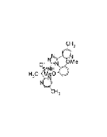 COc1cccc(OC)c1-n1c(N[S+]([O-])[C@@H](C)c2ncc(C)cn2)nnc1-c1cncc(C)c1